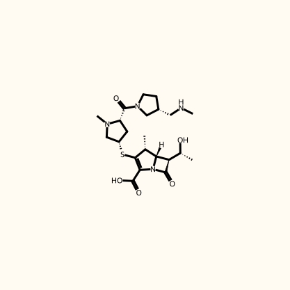 CNC[C@H]1CCN(C(=O)[C@@H]2C[C@H](SC3=C(C(=O)O)N4C(=O)[C@H]([C@@H](C)O)[C@H]4[C@H]3C)CN2C)C1